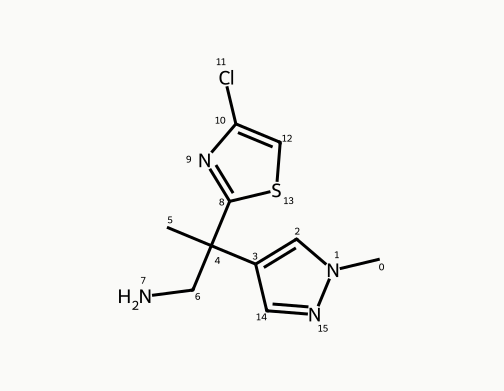 Cn1cc(C(C)(CN)c2nc(Cl)cs2)cn1